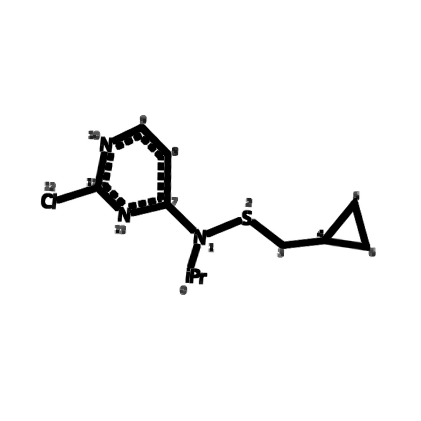 CC(C)N(SCC1CC1)c1ccnc(Cl)n1